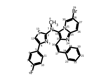 CN(c1nc(-c2ccc(F)cc2)cs1)c1c(C=Cc2ccccc2)nc2ccc(Br)cn12